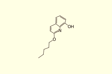 CCCCCOc1ccc2cccc(O)c2n1